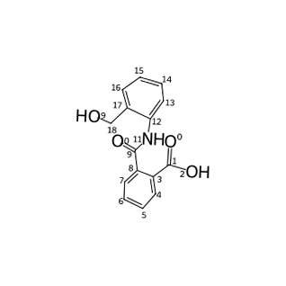 O=C(O)c1ccccc1C(=O)Nc1ccccc1CO